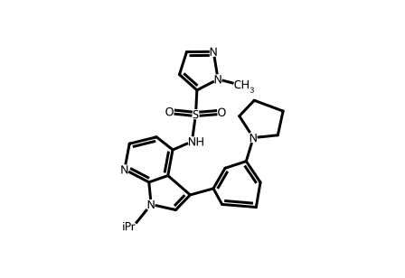 CC(C)n1cc(-c2cccc(N3CCCC3)c2)c2c(NS(=O)(=O)c3ccnn3C)ccnc21